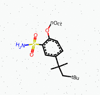 CCCCCCCCOc1ccc(C(C)(C)CC(C)(C)C)cc1S(N)(=O)=O